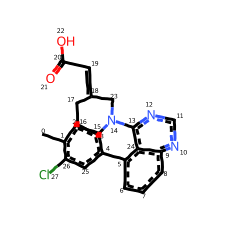 Cc1ccc(-c2cccc3ncnc(N4CCC/C(=C\C(=O)O)C4)c23)cc1Cl